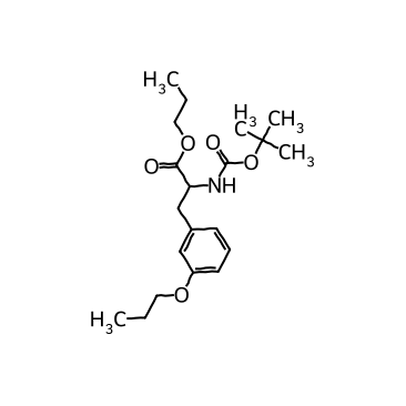 CCCOC(=O)C(Cc1cccc(OCCC)c1)NC(=O)OC(C)(C)C